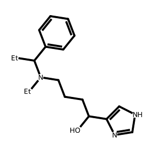 CCC(c1ccccc1)N(CC)CCCC(O)c1c[nH]cn1